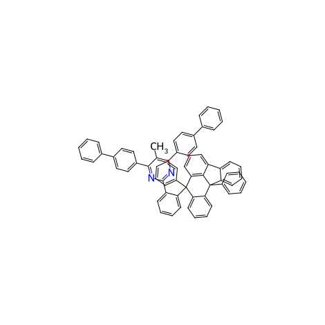 Cc1c(-c2ccc(-c3ccccc3)cc2)nc(-c2ccccc2C2(c3ccccc3)c3ccccc3C3(c4ccccc4)c4ccccc4-c4cccc2c43)nc1-c1ccc(-c2ccccc2)cc1